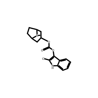 CN1C2CCC1CC(OC(=O)Oc1c(Cl)[nH]c3ccccc13)C2